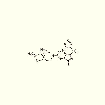 C[C@@H]1OCC2(CCN(c3cnc4c(C5(c6ccsc6)CC5)n[nH]c4n3)CC2)[C@@H]1N